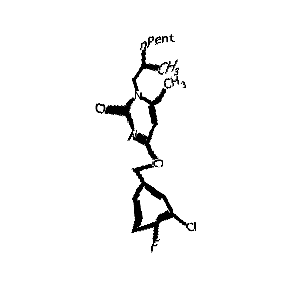 CCCCCC(C)Cn1c(C)cc(OCc2ccc(F)c(Cl)c2)nc1=O